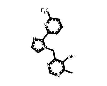 CCCc1c(C)ncnc1Cn1ccnc1-c1cccc(C(F)(F)F)n1